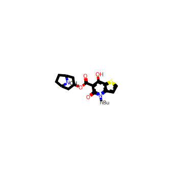 CCCCn1c(=O)c(C(=O)OC2CC3CCC(C2)N3C)c(O)c2sccc21